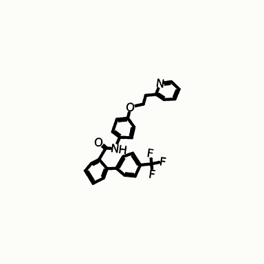 O=C(Nc1ccc(OCCc2ccccn2)cc1)c1ccccc1-c1ccc(C(F)(F)F)cc1